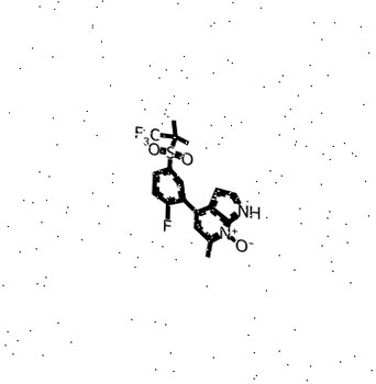 Cc1cc(-c2cc(S(=O)(=O)C(C)(C)C(F)(F)F)ccc2F)c2cc[nH]c2[n+]1[O-]